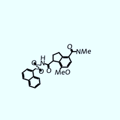 CNC(=O)c1ccc(OC)c2c1CCC2C(=O)NS(=O)(=O)c1cccc2ccccc12